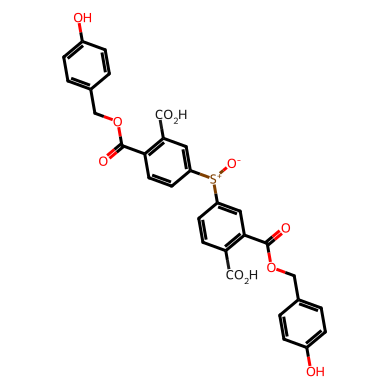 O=C(O)c1cc([S+]([O-])c2ccc(C(=O)O)c(C(=O)OCc3ccc(O)cc3)c2)ccc1C(=O)OCc1ccc(O)cc1